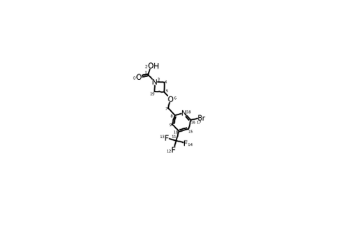 O=C(O)N1CC(OCc2cc(C(F)(F)F)cc(Br)n2)C1